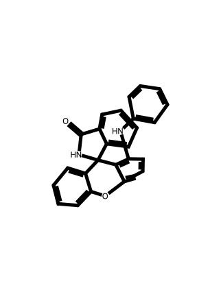 O=C1NC2(c3ccccc3Oc3cccc(Nc4ccccc4)c32)c2ccccc21